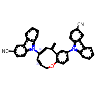 C=C1/C=C(n2c3ccccc3c3cc(C#N)ccc32)\C=C/COc2ccc(-n3c4ccccc4c4cc(C#N)ccc43)cc21